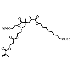 C=C(C)C(=O)OCCC(=O)OCCSCC(C)(CC(C)C(=O)OCCCCCCCCCCCCCCCCCC)C(=O)OCCCCCCCCCCCC